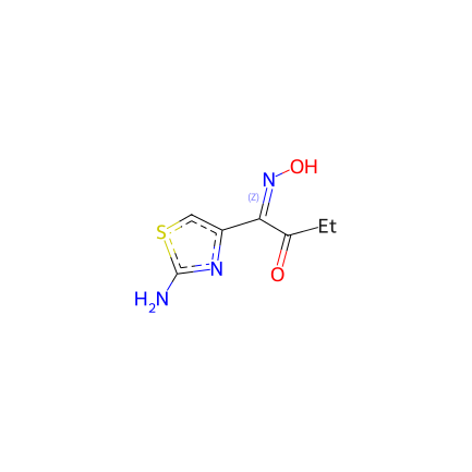 CCC(=O)/C(=N\O)c1csc(N)n1